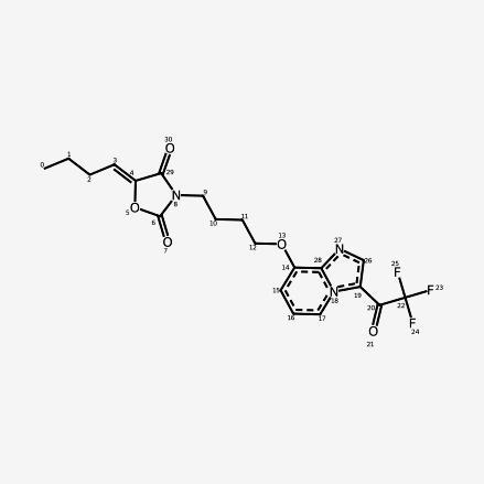 CCC/C=C1\OC(=O)N(CCCCOc2cccn3c(C(=O)C(F)(F)F)cnc23)C1=O